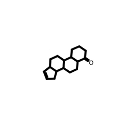 O=C1CCCC2C1CCC1C3CC=CC3CCC21